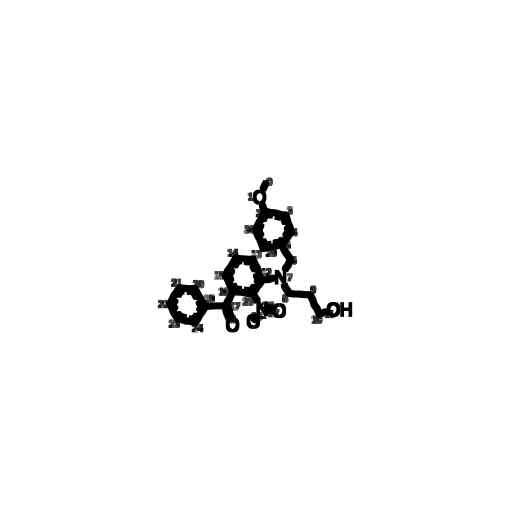 COc1ccc(CN(CCCO)c2cccc(C(=O)c3ccccc3)c2[N+](=O)[O-])cc1